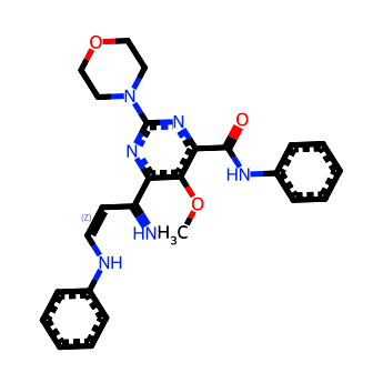 COc1c(C(=N)/C=C\Nc2ccccc2)nc(N2CCOCC2)nc1C(=O)Nc1ccccc1